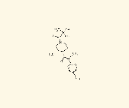 Cc1ccc(N(C)C(=O)[C@H]2CCN(C(=O)[C@@](C)(O)C(F)(F)F)C[C@H]2C)cc1